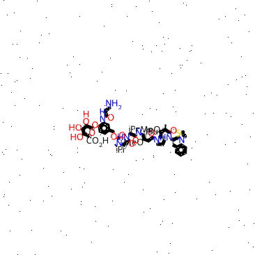 CC[C@H](C)[C@@H]([C@@H](CC(=O)N1CCC[C@H]1[C@H](OC)[C@@H](C)C(=O)N[C@@H](Cc1ccccc1)c1nccs1)OC)N(C)C(=O)[C@@H](NC(=O)[C@H](C(C)C)N(C)C(=O)OCc1ccc(O[C@@H]2O[C@H](C(=O)O)[C@@H](O)[C@H](O)[C@H]2O)c(NC(=O)CCN)c1)C(C)C